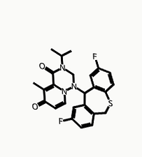 Cc1c2n(ccc1=O)N(C1c3cc(F)ccc3CSc3ccc(F)cc31)CN(C(C)C)C2=O